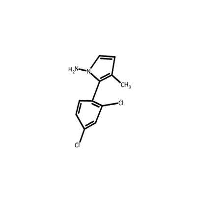 Cc1ccn(N)c1-c1ccc(Cl)cc1Cl